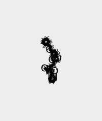 O=C1CN(c2ccccn2)C(=O)N1CCC1COc2ccc(OCc3ccccc3)cc2O1